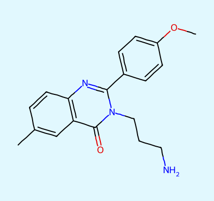 COc1ccc(-c2nc3ccc(C)cc3c(=O)n2CCCN)cc1